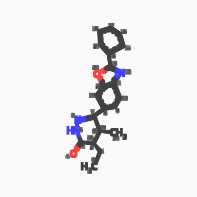 CC[C@H]1C(=O)NN=C(c2ccc3nc(-c4ccccc4)oc3c2)[C@H]1C